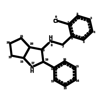 Clc1ccccc1CNC1C(c2ccccc2)NC2CCCC21